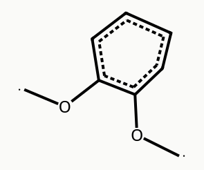 [CH2]Oc1ccccc1O[CH2]